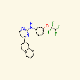 FC(F)C(F)(F)Oc1cccc(Nc2nccc(-c3ccc4ccccc4c3)n2)c1